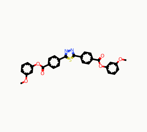 COc1cccc(OC(=O)c2ccc(-c3nnc(-c4ccc(C(=O)Oc5cccc(OC)c5)cc4)s3)cc2)c1